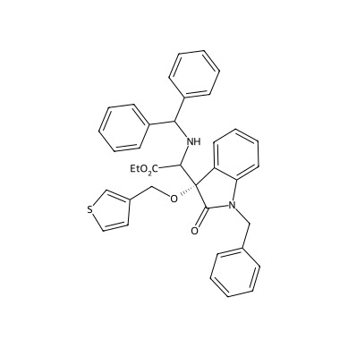 CCOC(=O)C(NC(c1ccccc1)c1ccccc1)[C@]1(OCc2ccsc2)C(=O)N(Cc2ccccc2)c2ccccc21